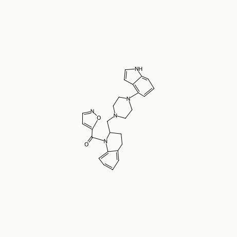 O=C(c1ccno1)N1c2ccccc2CCC1CN1CCN(c2cccc3[nH]ccc23)CC1